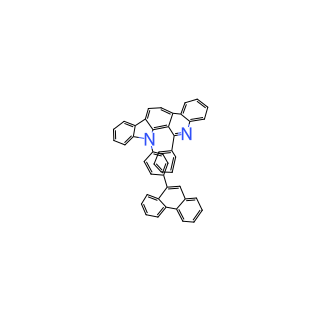 c1ccc(-c2nc3ccccc3c3ccc4c5ccccc5n(-c5ccc(-c6cc7ccccc7c7ccccc67)cc5)c4c23)cc1